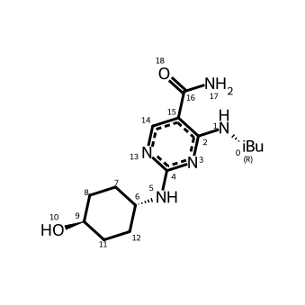 CC[C@@H](C)Nc1nc(N[C@H]2CC[C@H](O)CC2)ncc1C(N)=O